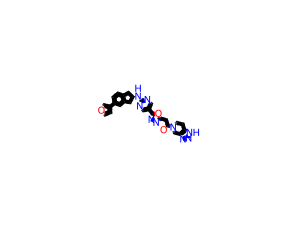 O=C(Cc1nnc(-c2cnc(N[C@H]3Cc4ccc(-c5ccoc5)cc4C3)nc2)o1)N1CCc2[nH]nnc2C1